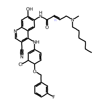 CCCCCCN(C)C/C=C/C(=O)Nc1cc2c(NC3=CC(Cl)C(OCc4cccc(F)c4)C=C3)c(C#N)cnc2cc1O